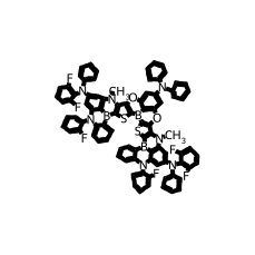 CN1c2cc(N(c3ccccc3)c3c(F)cccc3F)cc3c2B(c2ccccc2N3c2ccccc2F)c2sc3c(c21)Oc1cc(N(c2ccccc2)c2ccccc2)cc2c1B3c1sc3c(c1O2)N(C)c1cc(N(c2ccccc2)c2c(F)cccc2F)cc2c1B3c1ccccc1N2c1ccccc1F